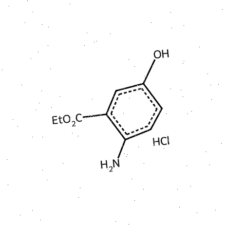 CCOC(=O)c1cc(O)ccc1N.Cl